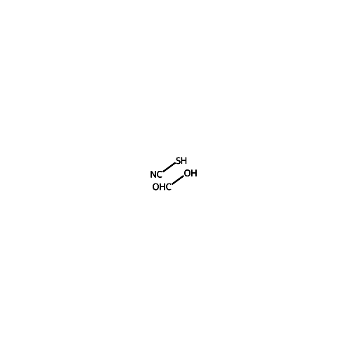 N#CS.O=CO